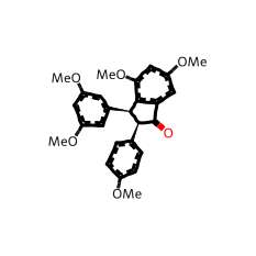 COc1ccc([C@@H]2C(=O)c3cc(OC)cc(OC)c3[C@@H]2c2cc(OC)cc(OC)c2)cc1